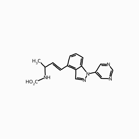 CC(C=Cc1cccc2c1cnn2-c1cncnc1)NC(=O)O